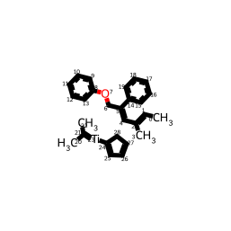 CC=C(C)C=C(COc1ccccc1)c1ccccc1.C[C](C)=[Ti][C]1=CC=CC1